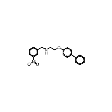 O=[N+]([O-])c1cccc(CNCCOc2ccc(-c3ccccc3)cc2)c1